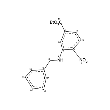 CCOC(=O)c1ccc([N+](=O)[O-])c(NCc2ccccc2)c1